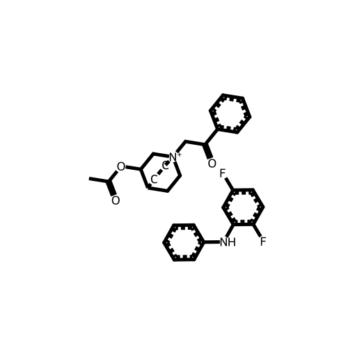 CC(=O)OC1C[N+]2(CC(=O)c3ccccc3)CCC1CC2.Fc1ccc(F)c(Nc2ccccc2)c1